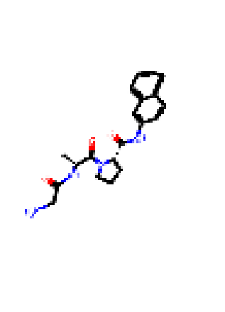 C[C@H](NC(=O)CN)C(=O)N1CCC[C@H]1C(=O)Nc1ccc2ccccc2c1